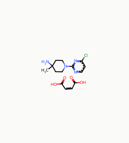 CC1(N)CCN(c2nccc(Cl)n2)CC1.O=C(O)/C=C\C(=O)O